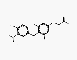 CC(=O)COc1cc(C)c(Cc2ccc(O)c(C(C)C)c2)c(C)c1